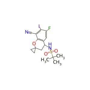 CC(C)(C)S(=O)(=O)NC1CC2(CC2)Oc2c1cc(F)c(I)c2C#N